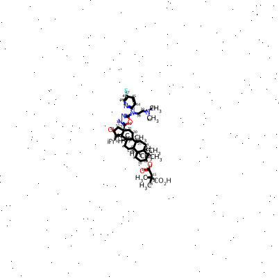 CC(C)C1=C2[C@H]3CC[C@@H]4[C@@]5(C)CC[C@H](OC(=O)CC(C)(C)C(=O)O)C(C)(C)[C@@H]5CC[C@@]4(C)[C@]3(C)CC[C@@]2(c2nnc(N(CCN(C)C)c3ccc(F)cn3)o2)CC1=O